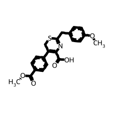 COC(=O)c1ccc(C2=C(C(=O)O)N=C(Cc3ccc(OC)cc3)SC2)cc1